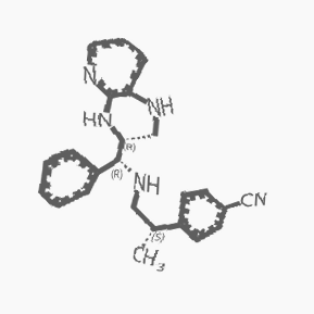 C[C@H](CN[C@H](c1ccccc1)[C@H]1CNc2cccnc2N1)c1ccc(C#N)cc1